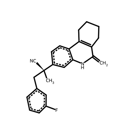 C=C1Nc2cc([C@@](C)(C#N)Cc3cccc(F)c3)ccc2C2=C1CCCC2